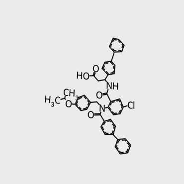 CC(C)Oc1ccc(CN(C(=O)c2ccc(-c3ccccc3)cc2)c2ccc(Cl)cc2C(=O)NC(CC(=O)O)c2ccc(-c3ccccc3)cc2)cc1